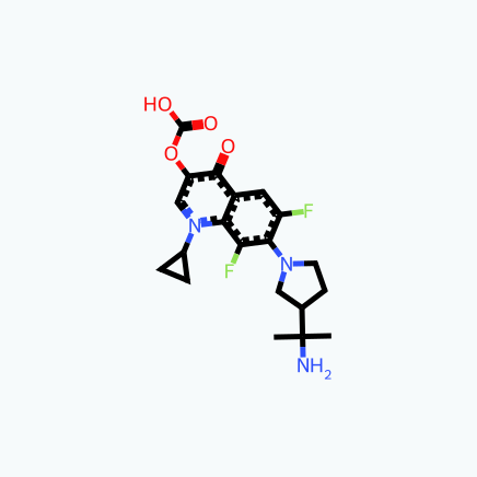 CC(C)(N)C1CCN(c2c(F)cc3c(=O)c(OC(=O)O)cn(C4CC4)c3c2F)C1